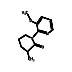 COc1cccnc1N1CCCC(C)C1=O